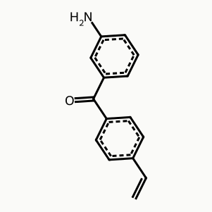 C=Cc1ccc(C(=O)c2cccc(N)c2)cc1